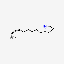 CCCC=C=CCCCCCC1CCCN1